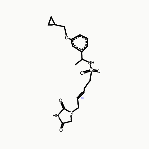 CC(NS(=O)(=O)CC/C=C/CN1CC(=O)NC1=O)c1cccc(OCC2CC2)c1